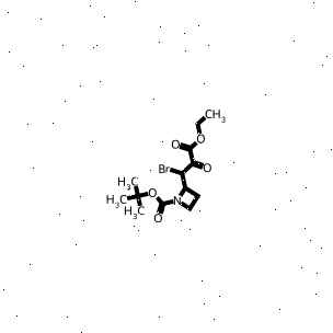 CCOC(=O)C(=O)C(Br)C1CCN1C(=O)OC(C)(C)C